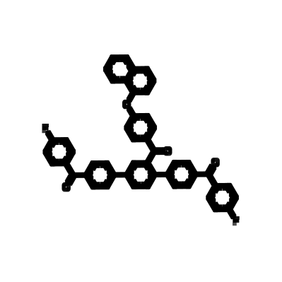 O=C(c1ccc(F)cc1)c1ccc(-c2ccc(-c3ccc(C(=O)c4ccc(F)cc4)cc3)c(C(=O)c3ccc(Oc4cccc5ccccc45)cc3)c2)cc1